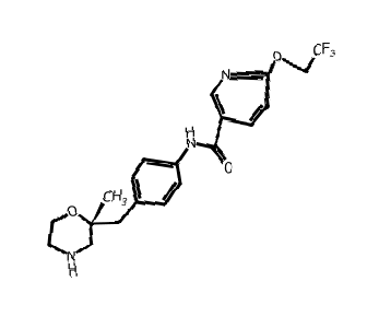 C[C@@]1(Cc2ccc(NC(=O)c3ccc(OCC(F)(F)F)nc3)cc2)CNCCO1